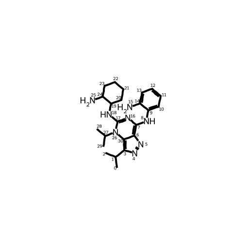 CC(C)c1nnc2c(Nc3ccccc3N)nc(NC3CCCCC3N)n(C(C)C)c1-2